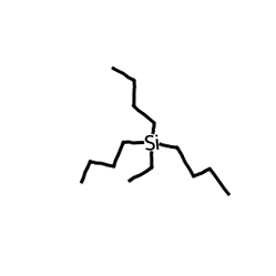 CCCC[Si](CC)(CCCC)CCCC